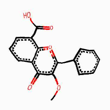 COc1c(-c2ccccc2)oc2c(C(=O)O)cccc2c1=O